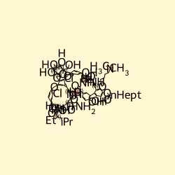 CCCCCCCC(=O)Oc1cc(O)c2c(c1)[C@@H](C(=O)CCCCN(C)C)NC(=O)[C@H]1NC(=O)[C@H](CC(=O)[C@@H]3NC(=O)[C@H](CC(N)=O)CC(=O)[C@H](NC(=O)[C@H](CC)CC(C)C)[C@H](O)c4ccc(c(Cl)c4)Oc4cc3cc(c4O[C@@H]3O[C@H](CO)[C@@H](O)[C@H](O)[C@H]3O)Oc3ccc(cc3Cl)[C@H]1O)c1ccc(O)c-2c1